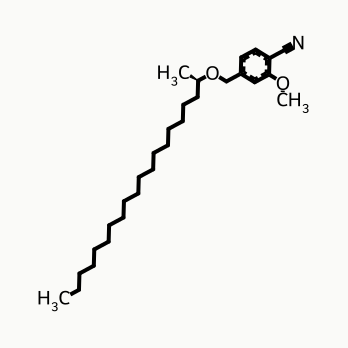 CCCCCCCCCCCCCCCCCC[C@@H](C)OCc1ccc(C#N)c(OC)c1